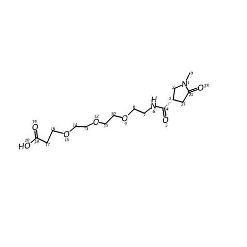 CN1C[C@@H](C(=O)NCCOCCOCCOCCC(=O)O)CC1=O